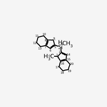 C[C]1C([SiH](C)C2=CC3=C([CH]2)CCCC3)=CC2=C1CCCC2